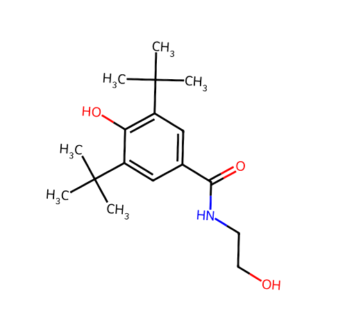 CC(C)(C)c1cc(C(=O)NCCO)cc(C(C)(C)C)c1O